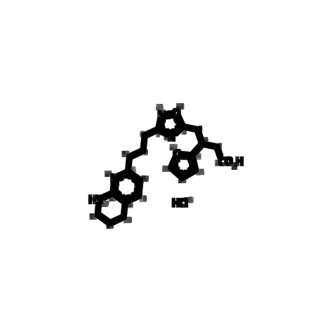 Cl.O=C(O)CC(Cc1nc(CCCc2ccc3c(n2)NCCC3)no1)c1ccco1